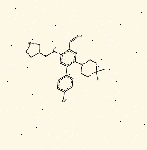 CC1(F)CCN(c2nc(C=N)c(NC[C@H]3CCNC3)cc2-c2ccc(C#N)cc2)CC1